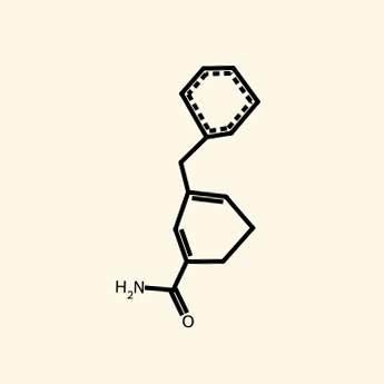 NC(=O)C1=CC(Cc2ccccc2)=CCC1